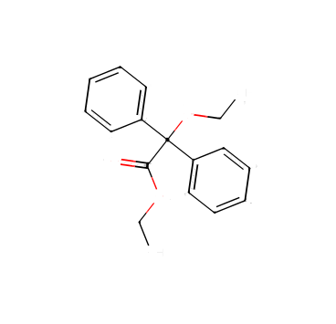 CCOC(=O)C(OCC)(c1ccccc1)c1ccccc1